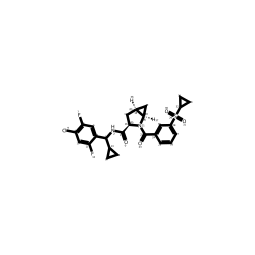 O=C(NC(c1cc(F)c(Cl)cc1F)C1CC1)[C@H]1C[C@H]2C[C@H]2N1C(=O)c1cccc(S(=O)(=O)C2CC2)c1